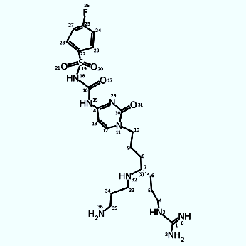 N=C(N)NCCC[C@@H](CCCn1ccc(NC(=O)NS(=O)(=O)c2ccc(F)cc2)nc1=O)NCCCN